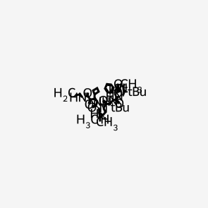 C=CCNC(=O)C(=O)C(NC(=O)[C@@H]1[C@@H]2[C@H](CN1C(=O)[C@@H](NC(=O)NC[C@@H](N(C)S(=O)(=O)c1ccccc1)C(C)(C)C)C(C)(C)C)C2(C)C)C1CCC1